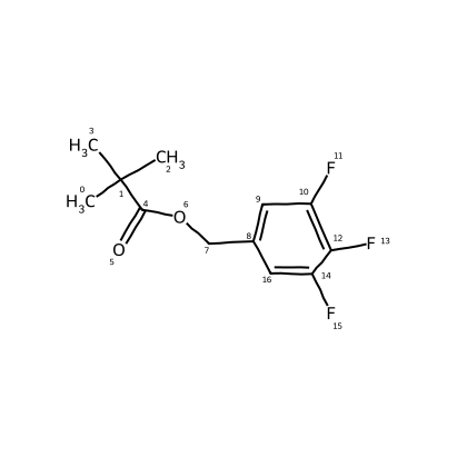 CC(C)(C)C(=O)OCc1cc(F)c(F)c(F)c1